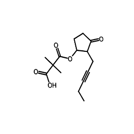 CCC#CCC1C(=O)CCC1OC(=O)C(C)(C)C(=O)O